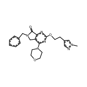 Cn1cc(CCOc2nc3c(c(N4CCOCC4)n2)CN(Cc2ccccc2)C3=O)cn1